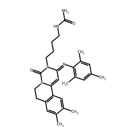 Cc1cc(C)c(/N=c2\cc3n(c(=O)n2CCCCNC(N)=O)CCc2cc(C)c(C)cc2-3)c(C)c1